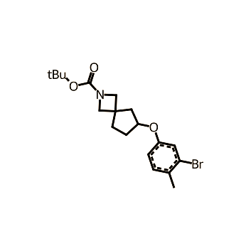 Cc1ccc(OC2CCC3(C2)CN(C(=O)OC(C)(C)C)C3)cc1Br